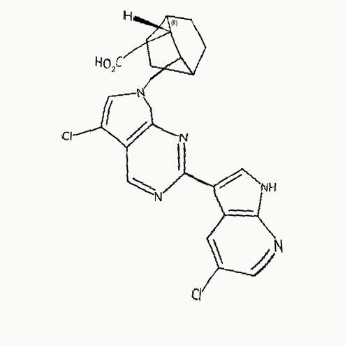 O=C(O)[C@@H]1C2CCC(CC2)C1n1cc(Cl)c2cnc(-c3c[nH]c4ncc(Cl)cc34)nc21